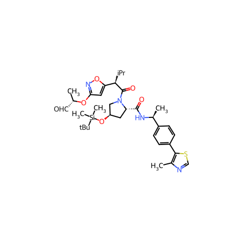 Cc1ncsc1-c1ccc([C@H](C)NC(=O)[C@@H]2C[C@@H](O[Si](C)(C)C(C)(C)C)CN2C(=O)[C@@H](c2cc(O[C@@H](C)C=O)no2)C(C)C)cc1